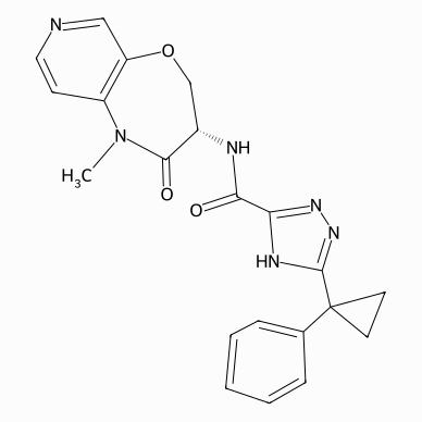 CN1C(=O)[C@@H](NC(=O)c2nnc(C3(c4ccccc4)CC3)[nH]2)COc2cnccc21